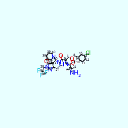 CC1N(C(=O)[C@@H](COCc2cccc(Cl)c2)NC(=O)C(C)(C)N)CCC2=NN(CC(F)(F)F)C(=O)[C@]21c1ccccn1